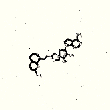 Nc1ccc2cccc(CC[C@H]3C[C@@]4(CO3)C[C@@H](n3ccc5c(N)ncnc53)[C@H](O)[C@@H]4O)c2n1